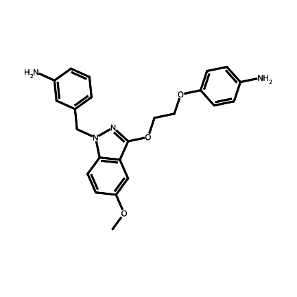 COc1ccc2c(c1)c(OCCOc1ccc(N)cc1)nn2Cc1cccc(N)c1